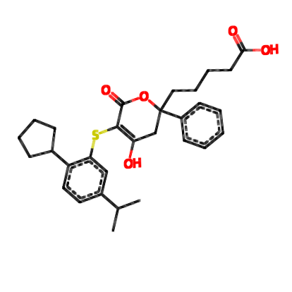 CC(C)c1ccc(C2CCCC2)c(SC2=C(O)CC(CCCCC(=O)O)(c3ccccc3)OC2=O)c1